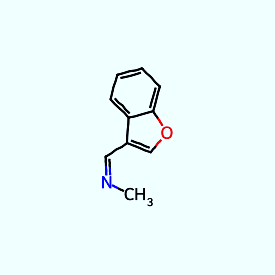 C/N=C\c1coc2ccccc12